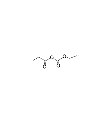 [CH2]COC(=O)OC(=O)CC